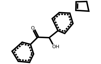 C1=CCC1.O=C(c1ccccc1)C(O)c1ccccc1